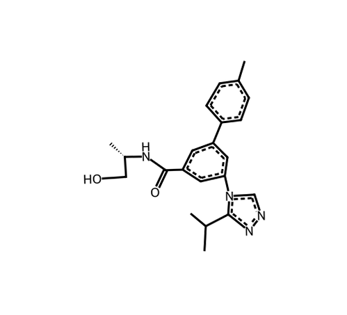 Cc1ccc(-c2cc(C(=O)N[C@@H](C)CO)cc(-n3cnnc3C(C)C)c2)cc1